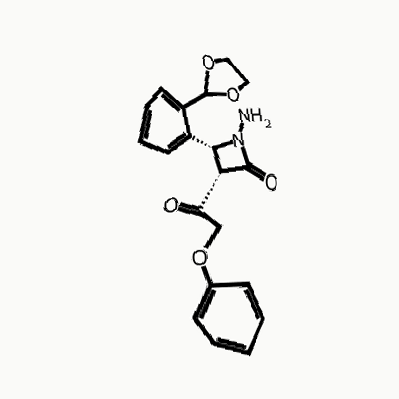 NN1C(=O)[C@H](C(=O)COc2ccccc2)[C@@H]1c1ccccc1C1OCCO1